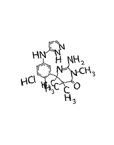 CN1C(=O)C(C)(C)C(C)(c2cc(Nc3ccn[nH]3)ccc2F)N=C1N.Cl